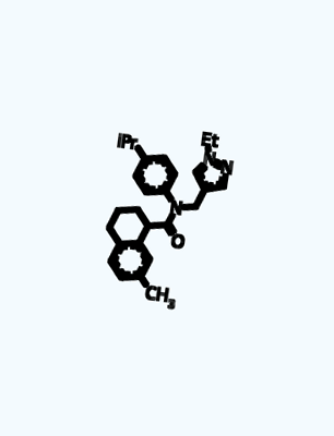 CCn1cc(CN(C(=O)C2CCCc3ccc(C)cc32)c2ccc(C(C)C)cc2)cn1